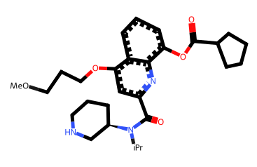 COCCCOc1cc(C(=O)N(C(C)C)[C@@H]2CCCNC2)nc2c(OC(=O)C3CCCC3)cccc12